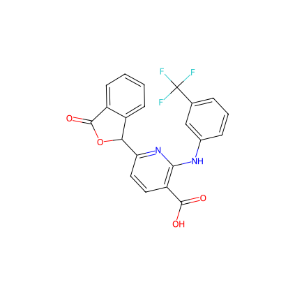 O=C1OC(c2ccc(C(=O)O)c(Nc3cccc(C(F)(F)F)c3)n2)c2ccccc21